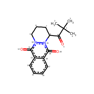 CC(C)(C)C(=O)C1CCCn2c(=O)c3ccccc3c(=O)n21